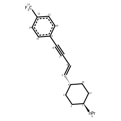 CCC[C@H]1CC[C@H](C=CC#Cc2ccc(C(F)(F)F)cc2)CC1